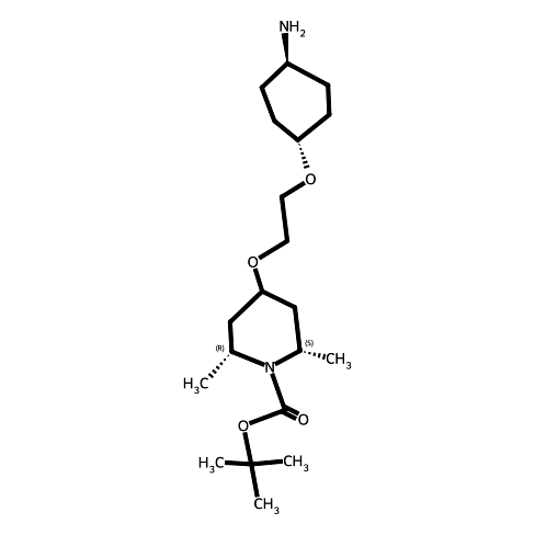 C[C@@H]1CC(OCCO[C@H]2CC[C@H](N)CC2)C[C@H](C)N1C(=O)OC(C)(C)C